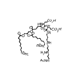 CCCCCCCCCCCCCCCCCC(=O)OCC(COC(=O)CCC(=O)NC(CCC(=O)O)C(=O)NC(CCC(=O)O)C(=O)NCCCNCCCCN(N)CCCNC(C)=O)OC(=O)CCCCCCCCCCCCCCCCC